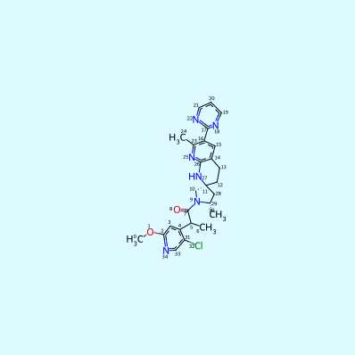 COc1cc(C(C)C(=O)N2C[C@]3(CCc4cc(-c5ncccn5)c(C)nc4N3)C[C@@H]2C)c(Cl)cn1